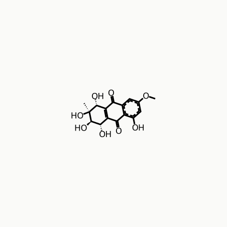 COc1cc(O)c2c(c1)C(=O)C1=C(C2=O)[C@H](O)[C@@H](O)[C@@](C)(O)[C@@H]1O